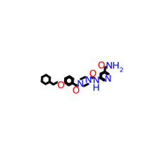 NC(=O)c1cncc(NC(=O)N2CCN(C(=O)c3cccc(OCCC4CCCCC4)c3)CC2)c1